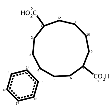 O=C(O)C1CCCCCC(C(=O)O)CCCC1.c1ccccc1